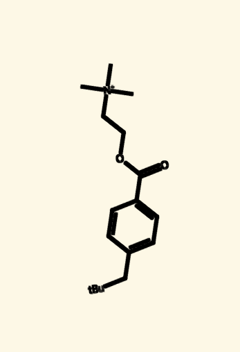 CC(C)(C)Cc1ccc(C(=O)OCC[N+](C)(C)C)cc1